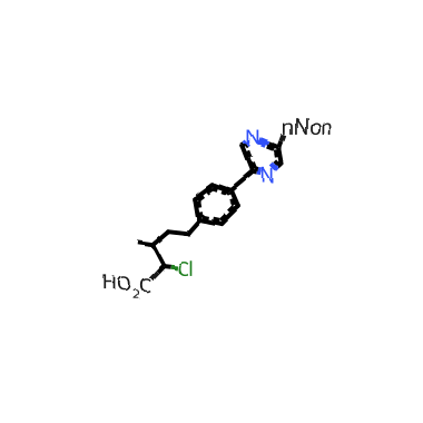 CCCCCCCCCc1cnc(-c2ccc(CCC(C)C(Cl)C(=O)O)cc2)cn1